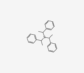 CC(c1ccccc1)[Si](C(C)c1ccccc1)C(C)c1ccccc1